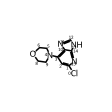 Clc1cc(N2CCOCC2)c2nc[nH]c2n1